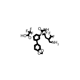 NCC(Cc1n[nH]c(=O)n1-c1cccc(-c2ccc3c(c2)OCO3)c1)=C(F)F.O=C(O)C(F)(F)F